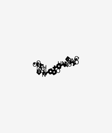 COC(=O)N[C@@H](C(C)C)C(O)N1CCC[C@H]1c1ncc(-c2ccc3c(c2)Oc2ccc4cc(-c5cnc([C@@H]6CCCN6C(=O)[C@@H](NC(=O)OC)C(C)C)[nH]5)ccc4c2C3(C)C)[nH]1